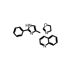 C1=NCCO1.Cc1c[nH]c(-c2ccccc2)n1.c1ccc2ncccc2c1